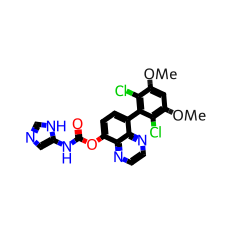 COc1cc(OC)c(Cl)c(-c2ccc(OC(=O)Nc3cnc[nH]3)c3nccnc23)c1Cl